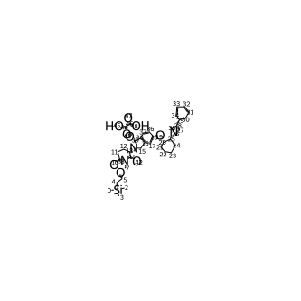 C[Si](C)(C)CCOCN1C(=O)CCC(N2Cc3cc(O[C@H]4CCCC[C@@H]4N4CC(c5ccccc5)C4)ccc3C2=O)C1=O.O=C(O)C(=O)O